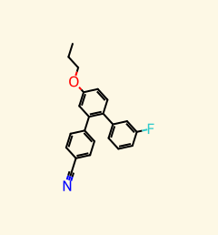 CCCOc1ccc(-c2cccc(F)c2)c(-c2ccc(C#N)cc2)c1